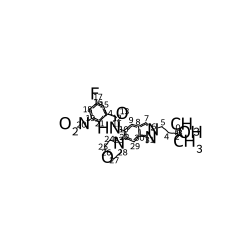 CC(C)(O)CCn1cc2cc(NC(=O)c3cc(F)cc([N+](=O)[O-])c3)c(N3CCOCC3)cc2n1